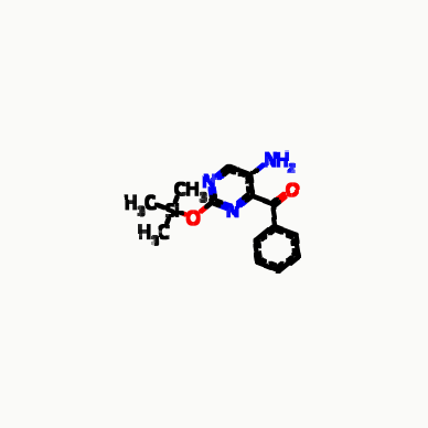 C[Si](C)(C)Oc1ncc(N)c(C(=O)c2ccccc2)n1